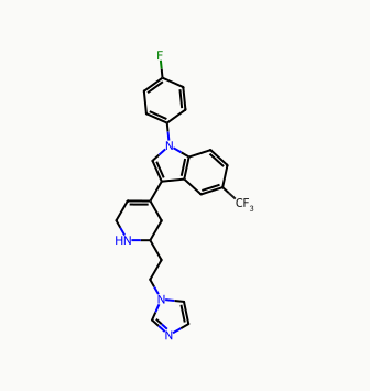 Fc1ccc(-n2cc(C3=CCNC(CCn4ccnc4)C3)c3cc(C(F)(F)F)ccc32)cc1